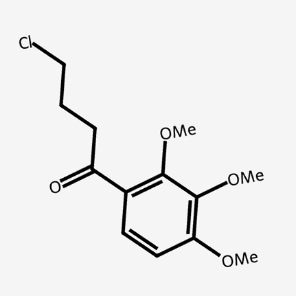 COc1ccc(C(=O)CCCCl)c(OC)c1OC